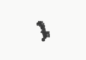 CC(C)C[C@H](NC(=O)OCc1ccccc1)C(=O)N[C@@H](Cc1ccc(OC(=O)N2CCC(C(N)=O)CC2)cc1)C(=O)OC(C)(C)C